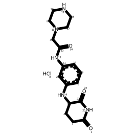 Cl.O=C1CCC(Nc2cccc(NC(=O)CN3CCNCC3)c2)C(=O)N1